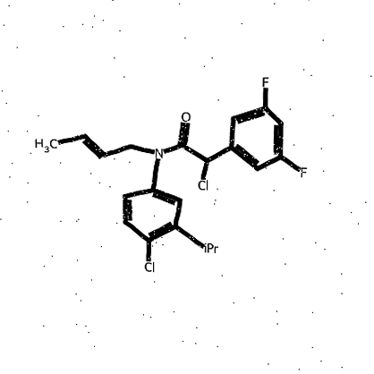 C/C=C/CN(C(=O)C(Cl)c1cc(F)cc(F)c1)c1ccc(Cl)c(C(C)C)c1